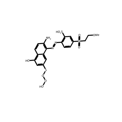 COCCS(=O)(=O)c1ccc(N=Nc2c(N)ccc3c(O)cc(SOOO)cc23)c(S(=O)(=O)O)c1